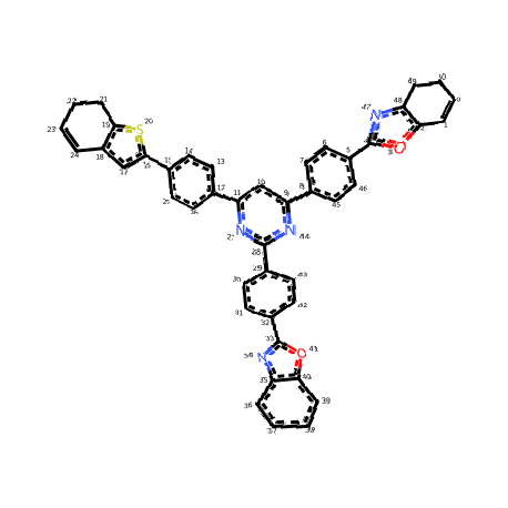 C1=Cc2oc(-c3ccc(-c4cc(-c5ccc(-c6cc7c(s6)CCC=C7)cc5)nc(-c5ccc(-c6nc7ccccc7o6)cc5)n4)cc3)nc2CC1